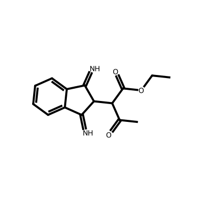 CCOC(=O)C(C(C)=O)C1C(=N)c2ccccc2C1=N